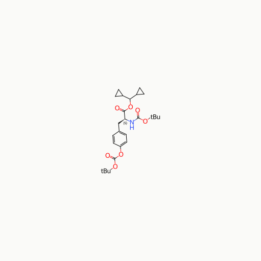 CC(C)(C)OC(=O)N[C@@H](Cc1ccc(OC(=O)OC(C)(C)C)cc1)C(=O)OC(C1CC1)C1CC1